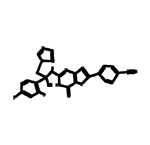 CC(c1nc2cc(-c3ccc(C#N)cc3)sc2c(=O)[nH]1)C(O)(Cn1cncn1)c1ccc(F)cc1F